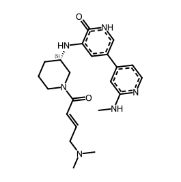 CNc1cc(-c2c[nH]c(=O)c(N[C@H]3CCCN(C(=O)C=CCN(C)C)C3)c2)ccn1